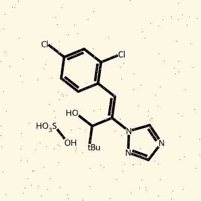 CC(C)(C)C(O)/C(=C\c1ccc(Cl)cc1Cl)n1cncn1.O=S(=O)(O)O